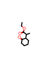 CCOC(=O)C(C)C1CCCCC1=O